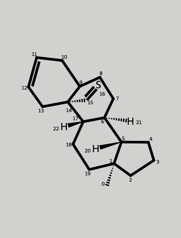 C[C@@]12CCC[C@H]1[C@@H]1CCC3CC=CC[C@]3(C=S)[C@H]1CC2